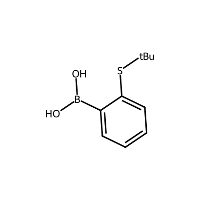 CC(C)(C)Sc1ccccc1B(O)O